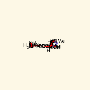 CO[C@H]1C[C@@H]2CC[C@@H](C)[C@@](O)(O2)C(=O)C(=O)N2CCCC[C@H]2C(=O)O[C@H]([C@H](C)C[C@@H]2CC[C@@H](OC(=O)NCCOCCOCCOCCOCCOCCOCCOCCOCCC(=O)N3CCc4cc(Cn5nc(-c6cnc7[nH]ccc7c6)c6c(N)ncnc65)ccc4C3)[C@H](OC)C2)CC(=O)[C@H](C)/C=C(\C)[C@@H](O)[C@@H](O)C(=O)[C@H](C)C[C@H](C)/C=C/C=C/C=C/1C